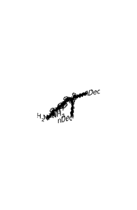 CCCCCCCCCCCCCCCCCC(=O)OC[C@@H](COC(=O)CCC(=O)OCCNC(=O)C(N)CCCCN)OC(=O)CCCCCCCCCCCCCCCCC